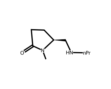 CCCNC[C@@H]1CCC(=O)N1C